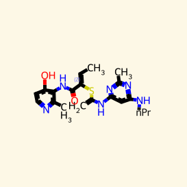 C=C(Nc1cc(NCCC)nc(C)n1)S/C(=C\C)C(=O)Nc1c(O)ccnc1C